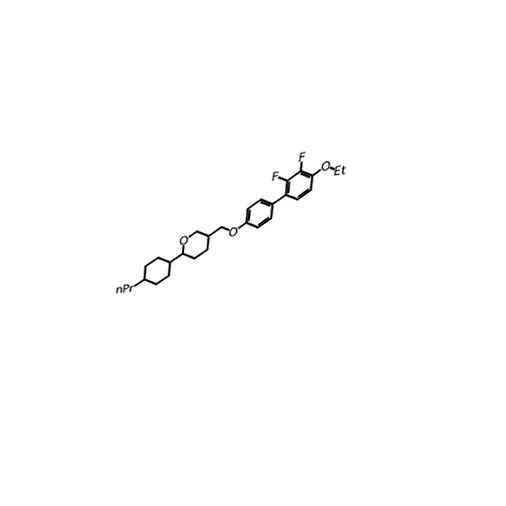 CCCC1CCC(C2CCC(COc3ccc(-c4ccc(OCC)c(F)c4F)cc3)CO2)CC1